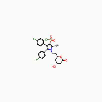 CC(C)c1c(S(=O)(=O)Cl)c(-c2ccc(F)cc2)c(-c2ccc(F)cc2)n1CC[C@@H]1C[C@@H](O)CC(=O)O1